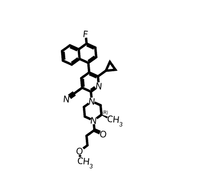 COCCC(=O)N1CCN(c2nc(C3CC3)c(-c3ccc(F)c4ccccc34)cc2C#N)C[C@H]1C